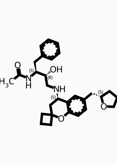 CC(=O)N[C@@H](Cc1ccccc1)[C@H](O)CN[C@H]1CC2(CCC2)Oc2ccc(C[C@@H]3CCCO3)cc21